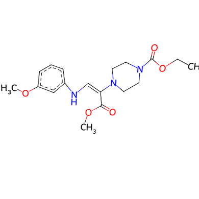 CCOC(=O)N1CCN(C(=CNc2cccc(OC)c2)C(=O)OC)CC1